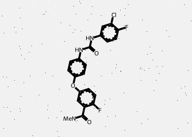 CNC(=O)c1cc(Oc2ccc(NC(=O)Nc3ccc(F)c(Cl)c3)cc2)ccc1F